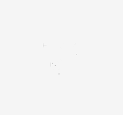 Cc1cccc2c(F)c[nH]c12